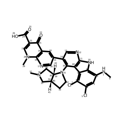 CNc1cc(Cl)c(Cl)c2c1[nH]c1ncc(-c3cnc4c(c3)c(=O)c(C(=O)O)cn4C)c(N3CC[C@@H]4CN(C)C[C@@H]43)c12